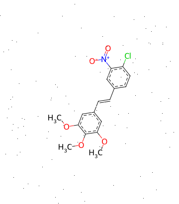 COc1cc(C=Cc2ccc(Cl)c([N+](=O)[O-])c2)cc(OC)c1OC